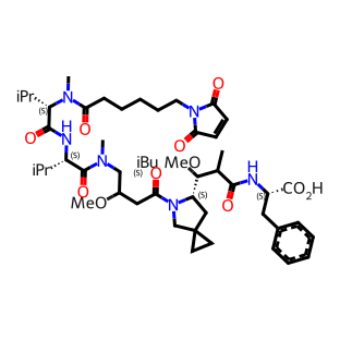 CC[C@H](C)C(C(CC(=O)N1CC2(CC2)C[C@H]1C(OC)C(C)C(=O)N[C@@H](Cc1ccccc1)C(=O)O)OC)N(C)C(=O)[C@@H](NC(=O)[C@H](C(C)C)N(C)C(=O)CCCCCN1C(=O)C=CC1=O)C(C)C